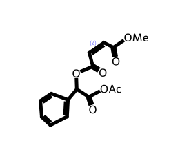 COC(=O)/C=C\C(=O)OC(C(=O)OC(C)=O)c1ccccc1